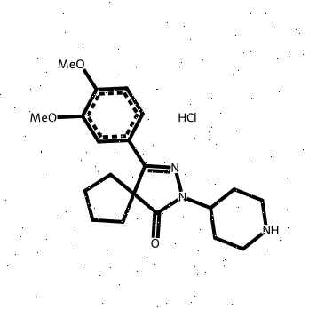 COc1ccc(C2=NN(C3CCNCC3)C(=O)C23CCCC3)cc1OC.Cl